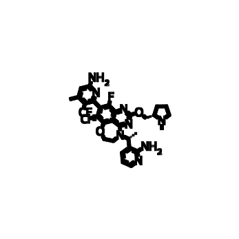 Cc1cc(N)nc(-c2c(Cl)c3c4c(nc(OC[C@@H]5CCCN5C)nc4c2F)N([C@H](C)c2cccnc2N)CCO3)c1C(F)(F)F